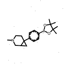 CN1CCC2(c3ccc(B4OC(C)(C)C(C)(C)O4)cc3)CC2C1